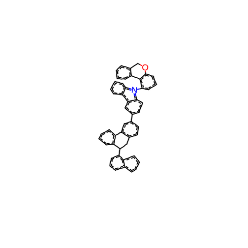 c1ccc2c(c1)COc1cccc(-n3c4ccccc4c4cc(-c5ccc6c(c5)-c5ccccc5C(c5cccc7ccccc57)C6)ccc43)c1-2